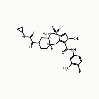 Cc1cc(NC(=O)c2c3c(cn2C)S(=O)(=O)N[C@@H]2CN(C(=O)C(=O)NC4CC4)CC[C@H]2O3)ccc1F